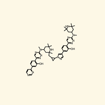 CN(c1ncc(-c2ccc(-c3cnn(C4CC4CC4(C)CC(N(C)c5ncc(-c6ccc(-c7ccncn7)cc6O)nn5)CC(C)(C)N4)c3)cc2O)nn1)C1CC(C)(C)NC(C)(C)C1